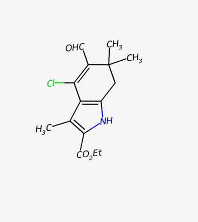 CCOC(=O)c1[nH]c2c(c1C)C(Cl)=C(C=O)C(C)(C)C2